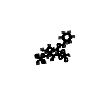 C=C(COS(C)(=O)=O)[C@]1(COS(C)(=O)=O)[C@@H](C)CN1C(=O)OCc1ccccc1